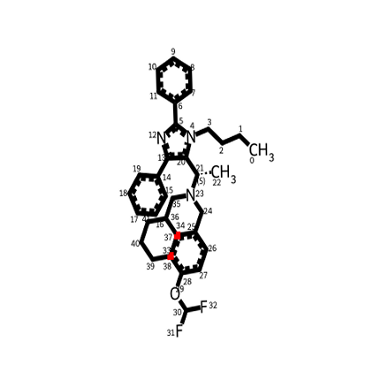 CCCCn1c(-c2ccccc2)nc(-c2ccccc2)c1[C@H](C)N(Cc1ccc(OC(F)F)cc1)CC1CCCCC1